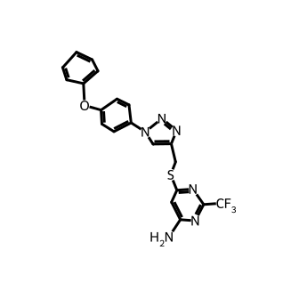 Nc1cc(SCc2cn(-c3ccc(Oc4ccccc4)cc3)nn2)nc(C(F)(F)F)n1